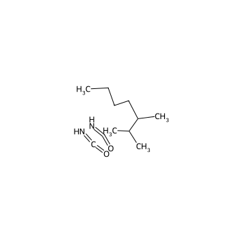 CCCCC(C)C(C)C.N=C=O.N=C=O